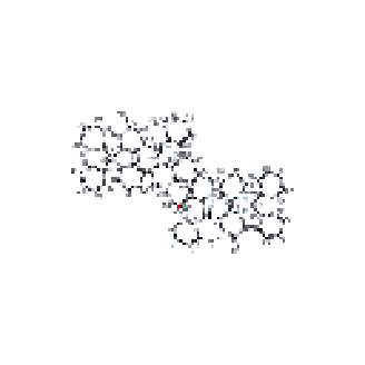 Cc1cc(N(c2c(C)cccc2C)c2ccc3ccc4c(N(c5cc(C)cc(C6(c7ccccc7)c7ccccc7-c7ccccc76)c5)c5c(C)cccc5C)ccc5ccc2c3c54)cc(C2(c3ccccc3)c3ccccc3-c3ccccc32)c1